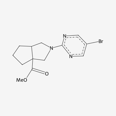 COC(=O)C12CCCC1CN(c1ncc(Br)cn1)C2